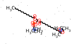 CCCCCCCCCCCCCCCC(=O)OCC(COP(=O)([O-])OCC[N+](C)(C)C)OC(=O)CCCCCCCCCCCCCCC1(CC)OCC(C)(C)N1[O]